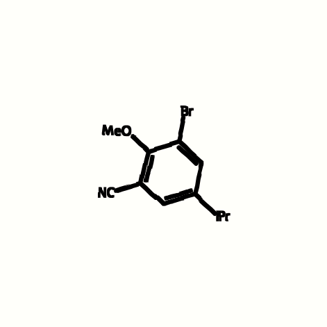 COc1c(Br)cc(C(C)C)cc1C#N